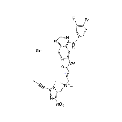 CC#Cc1nc([N+](=O)[O-])c(C[N+](C)(C)C/C=C/C(=O)Nc2cc3c(Nc4ccc(Br)c(F)c4)ncnc3cn2)n1C.[Br-]